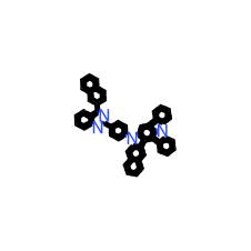 c1ccc2cc(-c3nc(-c4ccc(-n5c6cc7ccccc7cc6c6c7c8ccccc8n8c9ccccc9c(cc65)c78)cc4)nc4ccccc34)ccc2c1